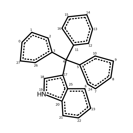 c1ccc(C(c2ccccc2)(c2ccccc2)c2c[nH]c3ccccc23)cc1